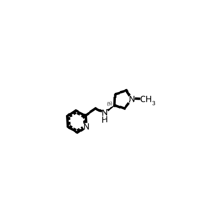 CN1CC[C@H](NCc2ccccn2)C1